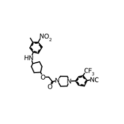 [C-]#[N+]c1ccc(N2CCN(C(=O)COC3CCC(Nc4ccc([N+](=O)[O-])c(C)c4)CC3)CC2)cc1C(F)(F)F